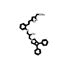 COCc1cc(/C=C/c2ccccc2OCC(O)CN2CC3C(C2)C(c2ccccc2)C3c2ccccc2)on1